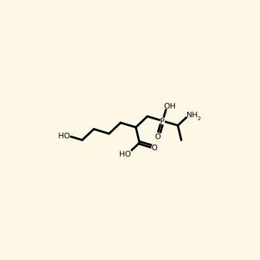 CC(N)P(=O)(O)CC(CCCCO)C(=O)O